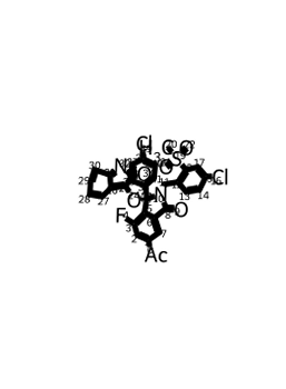 CC(=O)c1cc(F)c2c(c1)C(=O)N(Cc1ccc(Cl)cc1S(C)(=O)=O)[C@@]2(OC1=c2ccccc2=NC1=O)c1ccc(Cl)cc1